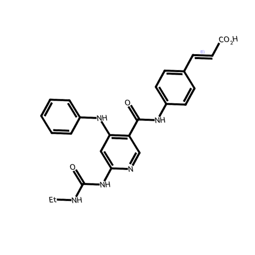 CCNC(=O)Nc1cc(Nc2ccccc2)c(C(=O)Nc2ccc(/C=C/C(=O)O)cc2)cn1